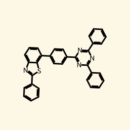 c1ccc(-c2nc(-c3ccccc3)nc(-c3ccc(-c4cccc5nc(-c6ccccc6)sc45)cc3)n2)cc1